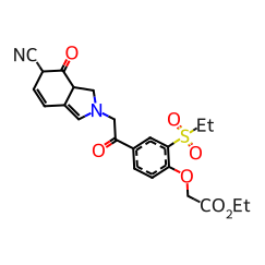 CCOC(=O)COc1ccc(C(=O)CN2C=C3C=CC(C#N)C(=O)C3C2)cc1S(=O)(=O)CC